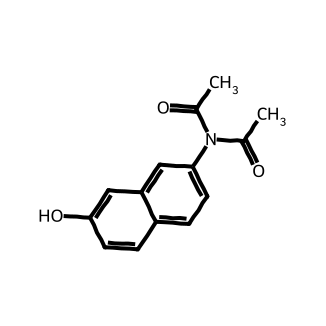 CC(=O)N(C(C)=O)c1ccc2ccc(O)cc2c1